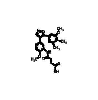 COc1ccc(-c2cnoc2-c2cc(C)c(C)c(OC)c2)cc1NC(=O)CCC(=O)O